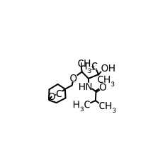 CC(C)C(=O)NC(C(C)OCC12CCC(CC1)OC2)C(C)(C)O